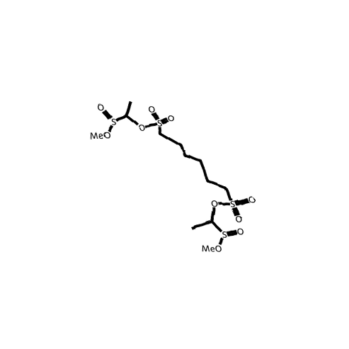 COS(=O)C(C)OS(=O)(=O)CCCCCCS(=O)(=O)OC(C)S(=O)OC